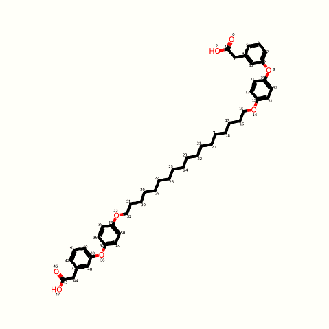 O=C(O)Cc1cccc(Oc2ccc(OCCCCCCCCCCCCCCCCCCOc3ccc(Oc4cccc(CC(=O)O)c4)cc3)cc2)c1